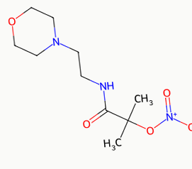 CC(C)(O[N+](=O)[O-])C(=O)NCCN1CCOCC1